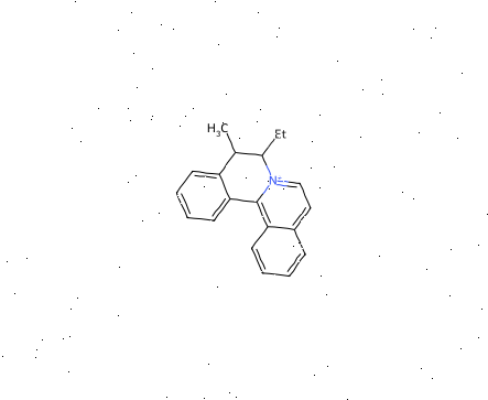 CCC1C(C)c2ccccc2-c2c3ccccc3cc[n+]21